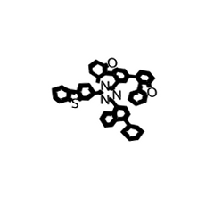 CC1CC=Cc2oc3cc(-c4cccc5oc6ccccc6c45)cc(-c4nc(-c5ccc6c(c5)sc5ccccc56)nc(-c5ccc(-c6ccccc6)c6ccccc56)n4)c3c21